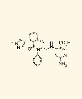 C[C@@H](Nc1nc(N)ncc1C(=O)O)c1nc2cccc(-c3cnn(C)c3)c2c(=O)n1-c1ccccc1